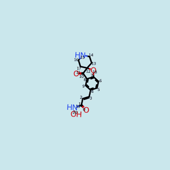 O=C(C=Cc1ccc2c(c1)C(=O)C1(CCNCC1)O2)NO